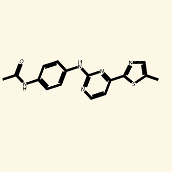 CC(=O)Nc1ccc(Nc2nccc(-c3ncc(C)s3)n2)cc1